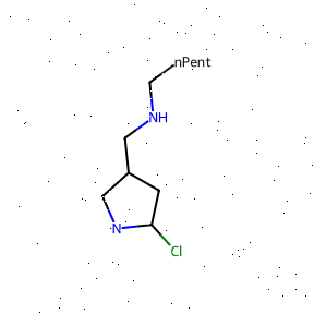 CCCCCCNCC1C[N]C(Cl)C1